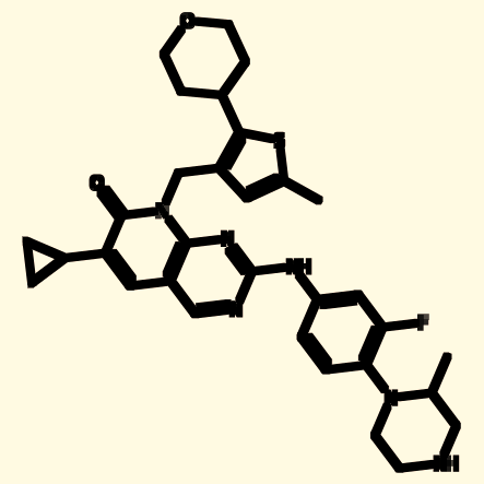 Cc1cc(Cn2c(=O)c(C3CC3)cc3cnc(Nc4ccc(N5CCNCC5C)c(F)c4)nc32)c(C2CCOCC2)s1